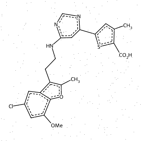 COc1cc(Cl)cc2c(CCNc3cc(-c4cc(C)c(C(=O)O)s4)ncn3)c(C)oc12